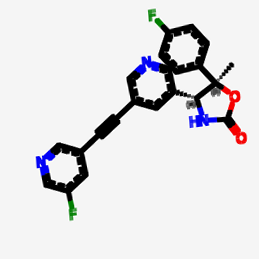 C[C@]1(c2ccc(F)cc2)OC(=O)N[C@@H]1c1cncc(C#Cc2cncc(F)c2)c1